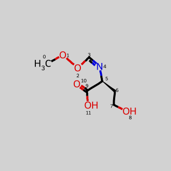 COO/C=N\[C@@H](CCO)C(=O)O